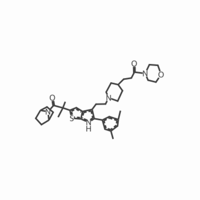 Cc1cc(C)cc(-c2[nH]c3sc(C(C)(C)C(=O)N4C5CCC4CC5)cc3c2CCN2CCC(CCC(=O)N3CCOCC3)CC2)c1